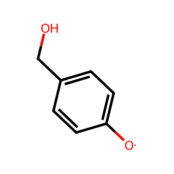 [O]c1ccc(CO)cc1